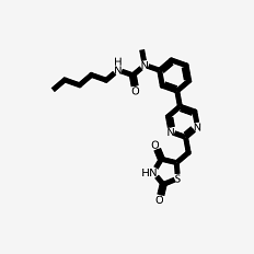 CCCCCNC(=O)N(C)c1cccc(-c2cnc(CC3SC(=O)NC3=O)nc2)c1